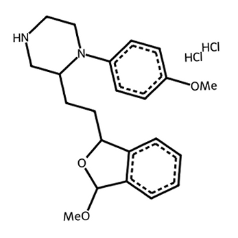 COc1ccc(N2CCNCC2CCC2OC(OC)c3ccccc32)cc1.Cl.Cl